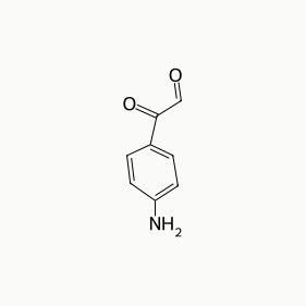 Nc1ccc(C(=O)C=O)cc1